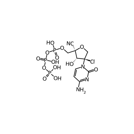 N#C[C@]1(COP(=O)(O)OP(=O)(O)OP(=O)(O)O)OC[C@](Cl)(n2ccc(N)nc2=O)[C@@H]1O